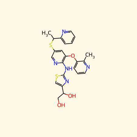 Cc1ncccc1Oc1cc(SC(C)c2ccccn2)cnc1Nc1nc(C(O)CO)cs1